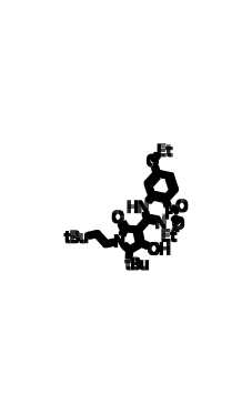 CCOc1ccc2c(c1)NC(C1=C(O)C(C(C)(C)C)N(CCC(C)(C)C)C1=O)=NP2(=O)OCC